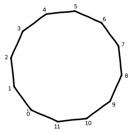 [CH]1CCCCCCCCCCC1